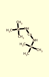 C[Si](C)(C)[NH][Co][NH][Si](C)(C)C